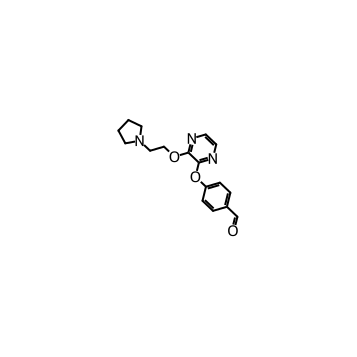 O=Cc1ccc(Oc2nccnc2OCCN2CCCC2)cc1